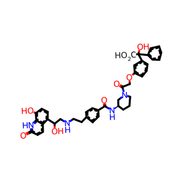 O=C(N[C@@H]1CCCN(C(=O)COc2cccc(C(O)(C(=O)O)c3ccccc3)c2)C1)c1ccc(CCNCC(O)c2ccc(O)c3[nH]c(=O)ccc23)cc1